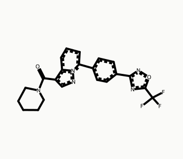 O=C(c1cnn2c(-c3ccc(-c4noc(C(F)(F)F)n4)cc3)cccc12)N1CCCCC1